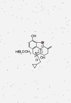 C=C1CC[C@@]2(O)[C@H]3Cc4ccc(O)c5c4[C@@]2(CCN3CC2CC2)[C@H]1O5.Cl.O.O